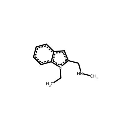 CCn1c(CNC)cc2ccccc21